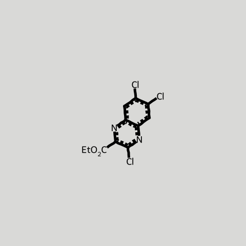 CCOC(=O)c1nc2cc(Cl)c(Cl)cc2nc1Cl